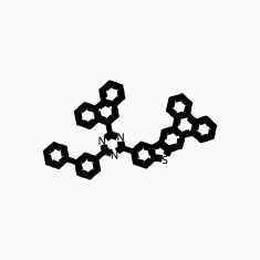 c1ccc(-c2cccc(-c3nc(-c4ccc5sc6cc7c8ccccc8c8ccccc8c7cc6c5c4)nc(-c4cc5ccccc5c5ccccc45)n3)c2)cc1